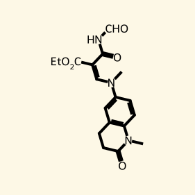 CCOC(=O)/C(=C/N(C)c1ccc2c(c1)CCC(=O)N2C)C(=O)NC=O